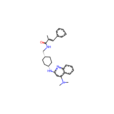 CC(=Cc1ccccc1)C(=O)NC[C@H]1CC[C@@H](Nc2cc(N(C)C)c3ccccc3n2)CC1